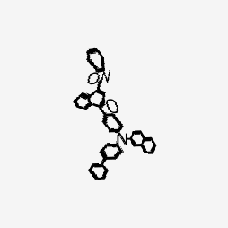 c1ccc(-c2ccc(N(c3ccc4ccccc4c3)c3ccc4c(c3)oc3cc(-c5nc6ccccc6o5)c5ccccc5c34)cc2)cc1